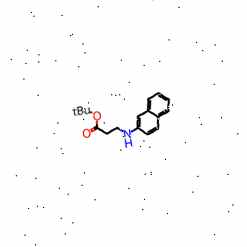 CC(C)(C)OC(=O)CCNc1ccc2ccccc2c1